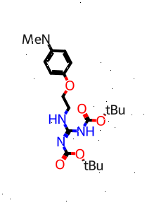 CNc1ccc(OCCNC(=NC(=O)OC(C)(C)C)NC(=O)OC(C)(C)C)cc1